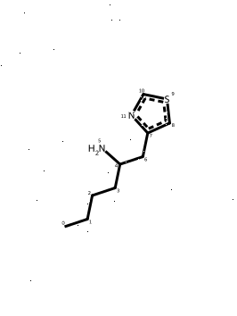 CCCCC(N)Cc1cscn1